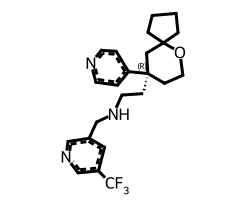 FC(F)(F)c1cncc(CNCC[C@@]2(c3ccncc3)CCOC3(CCCC3)C2)c1